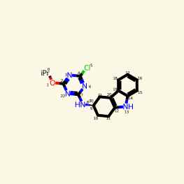 CC(C)Oc1nc(Cl)nc(N[C@@H]2CCc3[nH]c4ccccc4c3C2)n1